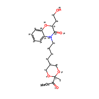 COC(=O)C1(C)OCC(CCCCN2C(=O)C(CCO)Oc3ccccc32)CO1